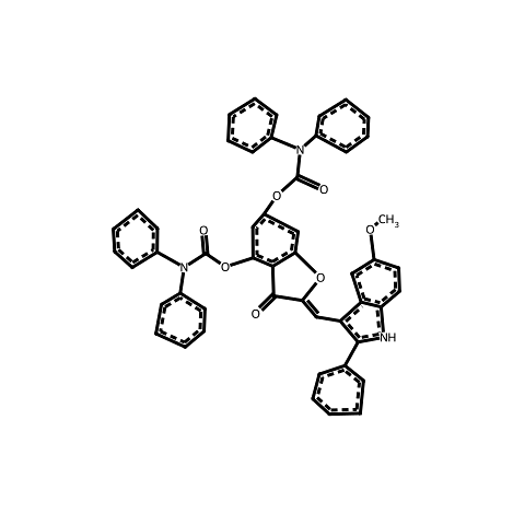 COc1ccc2[nH]c(-c3ccccc3)c(C=C3Oc4cc(OC(=O)N(c5ccccc5)c5ccccc5)cc(OC(=O)N(c5ccccc5)c5ccccc5)c4C3=O)c2c1